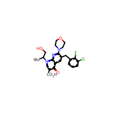 CC(C)(C)C(CO)n1cc(C(=O)O)c(=O)c2cc(Cc3cccc(Cl)c3F)c(N3CCOCC3)nc21